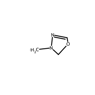 [CH2]N1COC=N1